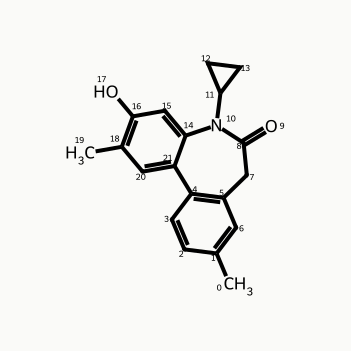 Cc1ccc2c(c1)CC(=O)N(C1CC1)c1cc(O)c(C)cc1-2